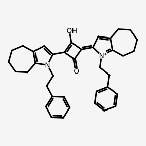 O=C1C(c2cc3c(n2CCc2ccccc2)CCCCC3)=C(O)/C1=C1\C=C2CCCCCC2=[N+]1CCc1ccccc1